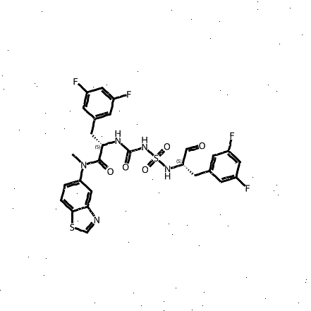 CN(C(=O)[C@H](Cc1cc(F)cc(F)c1)NC(=O)NS(=O)(=O)N[C@H](C=O)Cc1cc(F)cc(F)c1)c1ccc2scnc2c1